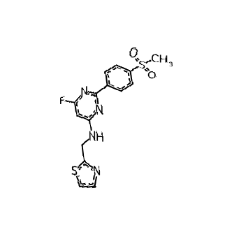 CS(=O)(=O)c1ccc(-c2nc(F)cc(NCc3nccs3)n2)cc1